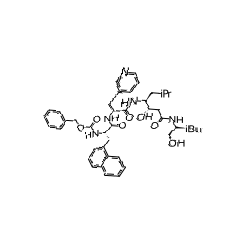 CC[C@H](C)[C@@H](CO)NC(=O)C[C@H](O)[C@H](CC(C)C)NC(=O)C(Cc1cccnc1)NC(=O)[C@H](Cc1cccc2ccccc12)NC(=O)OCc1ccccc1